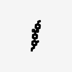 CCCC1CCC([C@H]2CC[C@H](C(=O)O[C@H]3CC[C@H](CC)CC3)CC2)C(C)C1